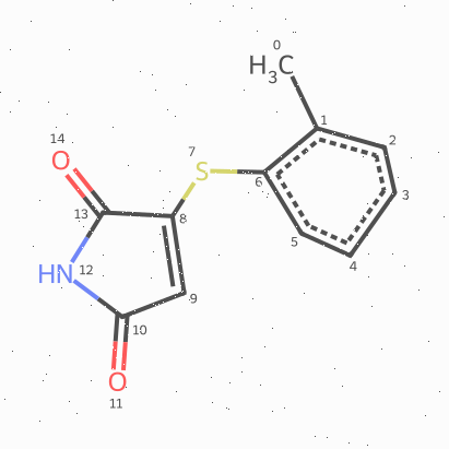 Cc1ccccc1SC1=CC(=O)NC1=O